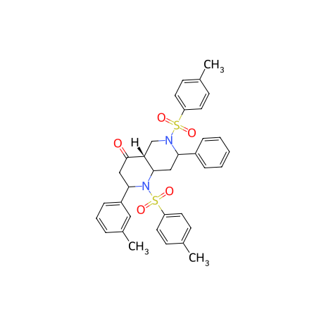 Cc1ccc(S(=O)(=O)N2C[C@H]3C(=O)CC(c4cccc(C)c4)N(S(=O)(=O)c4ccc(C)cc4)C3CC2c2ccccc2)cc1